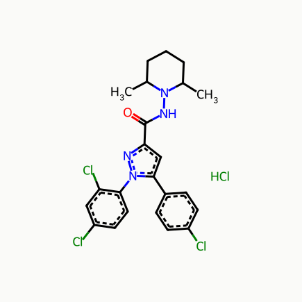 CC1CCCC(C)N1NC(=O)c1cc(-c2ccc(Cl)cc2)n(-c2ccc(Cl)cc2Cl)n1.Cl